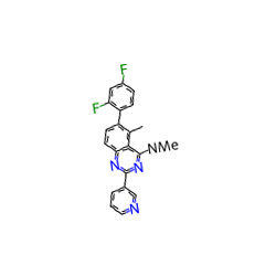 CNc1nc(-c2cccnc2)nc2ccc(-c3ccc(F)cc3F)c(C)c12